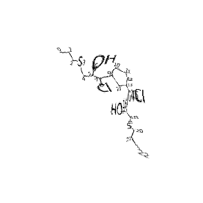 CCCSCC(O)C(Cl)C1CCCC(C(Cl)C(O)CSCCC)C1